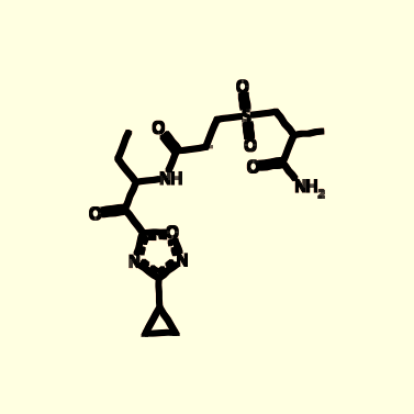 CCC(NC(=O)[CH]CS(=O)(=O)CC(C)C(N)=O)C(=O)c1nc(C2CC2)no1